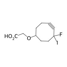 O=C(O)COC1CCC#CC(F)(I)CC1